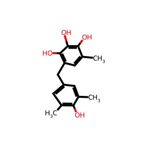 Cc1cc(Cc2cc(C)c(O)c(O)c2O)cc(C)c1O